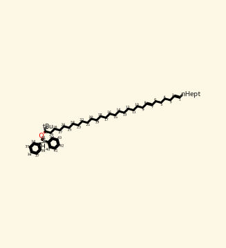 CCCCCCCC=CCCCCC=CCCCCCCCCCCCCCCCCCCCCCC(O[SiH](c1ccccc1)c1ccccc1)C(C)(C)C